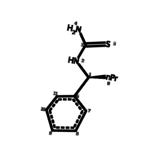 CCC[C@H](NC(N)=S)c1ccccc1